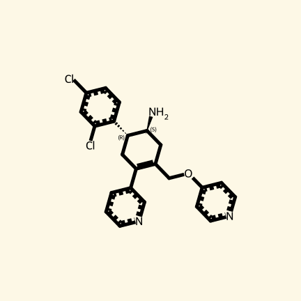 N[C@H]1CC(COc2ccncc2)=C(c2cccnc2)C[C@@H]1c1ccc(Cl)cc1Cl